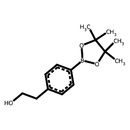 CC1(C)OB(c2ccc(CCO)cc2)OC1(C)C